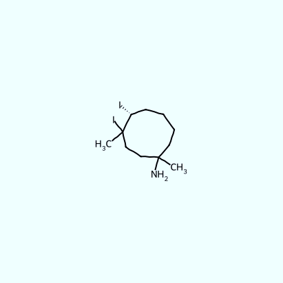 CC1(N)CCCC[C@@H](I)C(C)(I)CC1